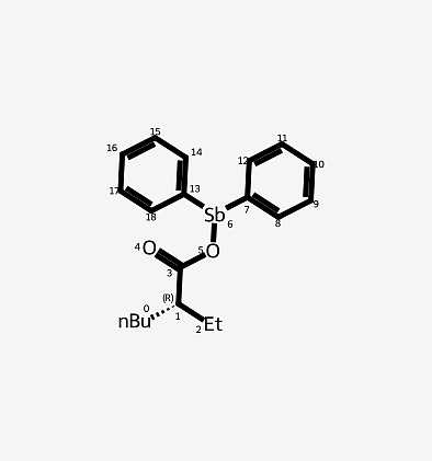 CCCC[C@@H](CC)C(=O)[O][Sb]([c]1ccccc1)[c]1ccccc1